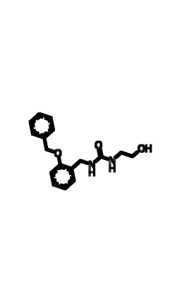 O=C(NCCO)NCc1ccccc1OCc1ccccc1